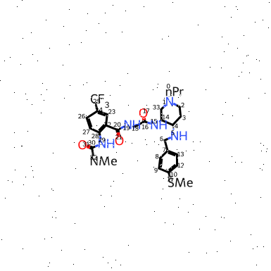 CCCN1CC[C@H](NCc2ccc(SC)cc2)[C@H](NC(=O)CNC(=O)c2cc(C(F)(F)F)ccc2NC(=O)NC)C1